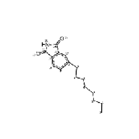 CCCCCCCCc1ccc2c(c1)C(=O)NC2=O